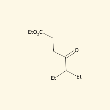 CCOC(=O)CCC(=O)C(CC)CC